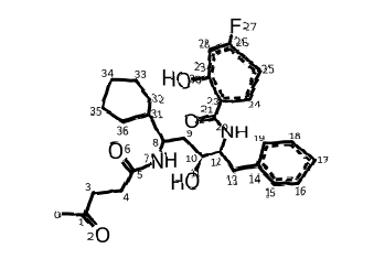 CC(=O)CCC(=O)NC(C[C@H](O)C(Cc1ccccc1)NC(=O)c1ccc(F)cc1O)C1CCCCC1